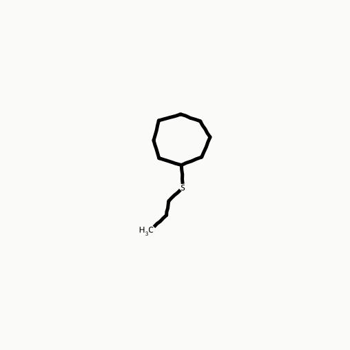 CCCSC1CCCCCCC1